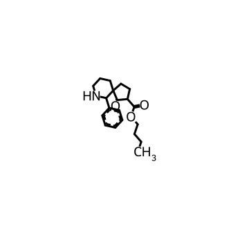 CCCCOC(=O)C1CCC2(CCCNC2c2ccccc2)C1=O